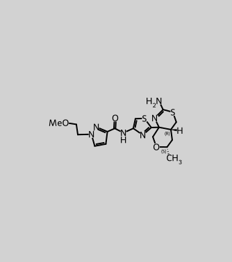 COCCn1ccc(C(=O)Nc2csc(C34CO[C@@H](C)C[C@H]3CSC(N)=N4)n2)n1